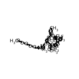 COCCOCCOCCOCCOCC1CN(c2nccc(COc3ccc4cc3C[C@H](C(=O)OC(C)(C)C)Oc3ncnc5sc(-c6ccc(F)cc6)c(c35)-c3c(C)c(Cl)c(c(Cl)c3C)O[C@H](CN3CCN(C)CC3)CO4)n2)C1